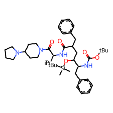 CC(C)C(NC(=O)C(Cc1ccccc1)CC(O[Si](C)(C)C(C)(C)C)C(Cc1ccccc1)NC(=O)OC(C)(C)C)C(=O)N1CCC(N2CCCC2)CC1